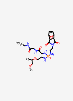 CCC(COC(C)C)OCCNP(=O)(NCCN1C(=O)C2C3C=CC(O3)C2C1=O)NCC(=O)NCC(=O)NCC(=O)O